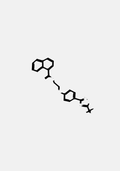 O=C(NCCOc1ccc(-c2noc(C(F)(F)F)n2)cc1)c1cccc2ccccc12